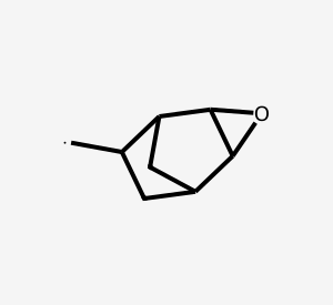 [CH2]C1CC2CC1C1OC21